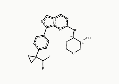 O[C@@H]1COCC[C@H]1Nc1ncc2cnc(-c3ccc(C4(C(F)F)CC4)cc3)n2n1